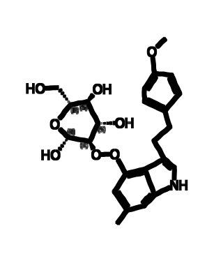 COc1ccc(CCc2c[nH]c3cc(C)cc(OO[C@@H]4[C@@H](O)[C@H](O)[C@@H](CO)O[C@H]4O)c23)cc1